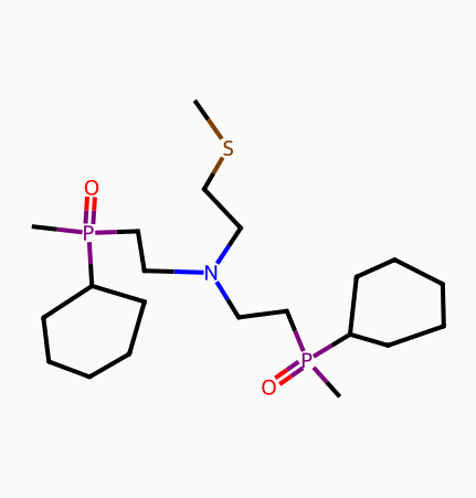 CSCCN(CCP(C)(=O)C1CCCCC1)CCP(C)(=O)C1CCCCC1